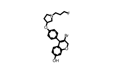 Oc1ccc2c(c1)OCC(Br)=C2c1ccc(OC2CCN(CCCF)C2)cc1